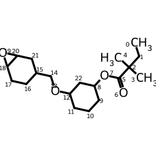 CCC(C)(C)C(=O)OC1CCCC(OCC2CCC3OC3C2)C1